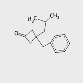 CC(C)CC1(Cc2ccccc2)CC(=O)C1